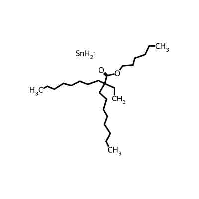 CCCCCCCCC(CC)(CCCCCCCC)C(=O)OCCCCCC.[SnH2]